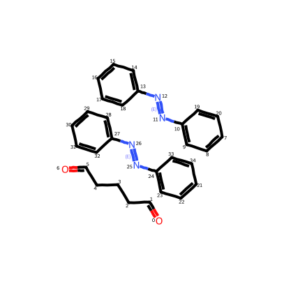 O=CCCCC=O.c1ccc(/N=N/c2ccccc2)cc1.c1ccc(/N=N/c2ccccc2)cc1